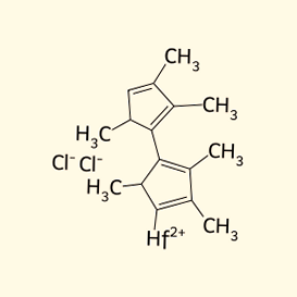 CC1=CC(C)C(C2=C(C)C(C)=[C]([Hf+2])C2C)=C1C.[Cl-].[Cl-]